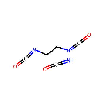 N=C=O.O=C=NCCN=C=O